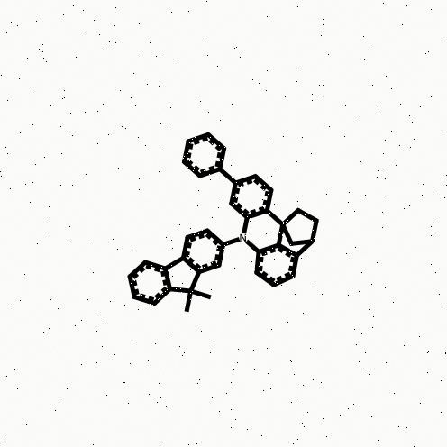 CC1(C)c2ccccc2-c2ccc(N3c4cc(-c5ccccc5)ccc4C45CCC(C4)c4cccc3c45)cc21